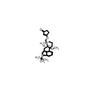 COC12CCC[N@@+](C)(COC3=CC(=O)CC3)[C@@H]1Cc1cn(C(C)(C)C)c3cccc2c13